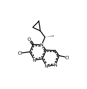 C[C@@H](C1CC1)n1c(=O)c(Cl)nc2nnc(Cl)cc21